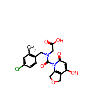 Cc1cc(Cl)ccc1CN(CC(=O)O)C(=O)n1c2c(c(O)cc1=O)COC2